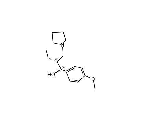 CC[C@H](CN1CCCC1)[C@H](O)c1ccc(OC)cc1